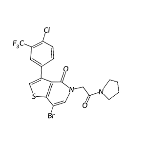 O=C(Cn1cc(Br)c2scc(-c3ccc(Cl)c(C(F)(F)F)c3)c2c1=O)N1CCCC1